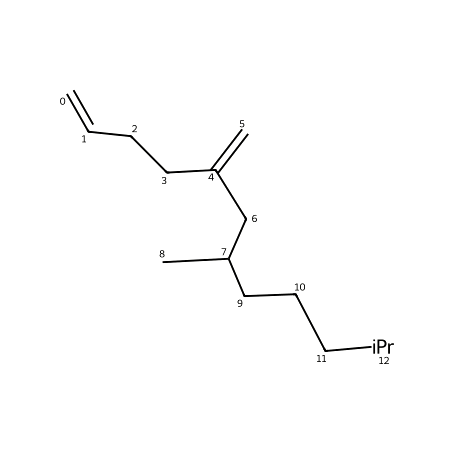 C=CCCC(=C)CC(C)CCCC(C)C